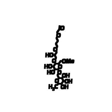 COCC1O[C@H](OCC2OC(C)C(O)C(O)[C@@H]2O)C(O)C(O)[C@@H]1OCC(O)COCCCCOCC1CO1